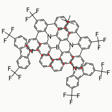 CC(C)(C)c1cc2c3c(c1)N(c1c(-c4ccccc4)cc(C(F)(F)F)cc1-c1ccccc1)c1cc(-n4c5ccc(C(F)(F)F)cc5c5cc(C(F)(F)F)ccc54)cc(-c4ccccc4)c1B3c1c(-c3ccccc3)cc(-n3c4ccc(C(F)(F)F)cc4c4cc(C(F)(F)F)ccc43)cc1N2c1c(-c2ccccc2)cc(C(F)(F)F)cc1-c1ccccc1